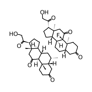 C[C@H]1C[C@H]2[C@@H]3CC[C@H](C(=O)CO)[C@@]3(C)CC(=O)[C@@H]2[C@@]2(C)CCC(=O)C[C@@H]12.C[C@]12CC(=O)[C@@]3(F)[C@@H](CC[C@H]4CC(=O)CC[C@@]43C)[C@@H]1CC[C@@H]2C(=O)CO